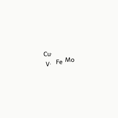 [Cu].[Fe].[Mo].[V]